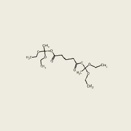 CCOC(C)(OCC)OC(=O)CCCC(=O)OC(C)(OCC)OCC